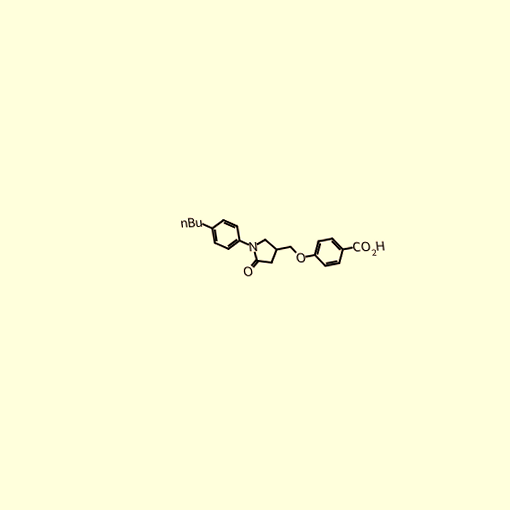 CCCCc1ccc(N2CC(COc3ccc(C(=O)O)cc3)CC2=O)cc1